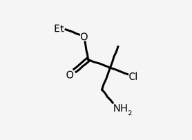 CCOC(=O)C(C)(Cl)CN